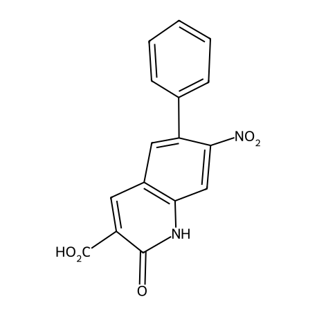 O=C(O)c1cc2cc(-c3ccccc3)c([N+](=O)[O-])cc2[nH]c1=O